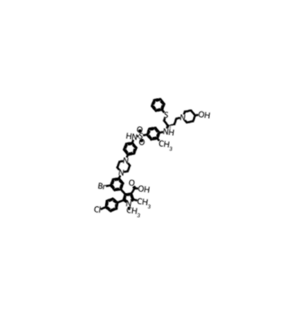 Cc1cc(S(=O)(=O)Nc2ccc(N3CCN(c4cc(Br)cc(-c5c(C(=O)O)c(C)n(C)c5-c5ccc(Cl)cc5)c4)CC3)cc2)ccc1N[C@H](CCN1CCC(O)CC1)CSc1ccccc1